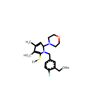 CCSC1=C(C(=O)O)C(C)=CC(N2CCOCC2)N1Cc1ccc(F)c(COC)c1